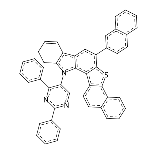 C1=Cc2c(n(-c3cnc(-c4ccccc4)nc3-c3ccccc3)c3c2cc(-c2ccc4ccccc4c2)c2sc4c5ccccc5ccc4c23)CC1